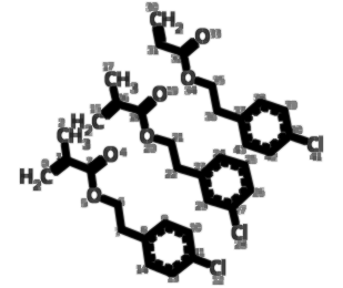 C=C(C)C(=O)OCCc1ccc(Cl)cc1.C=C(C)C(=O)OCCc1cccc(Cl)c1.C=CC(=O)OCCc1ccc(Cl)cc1